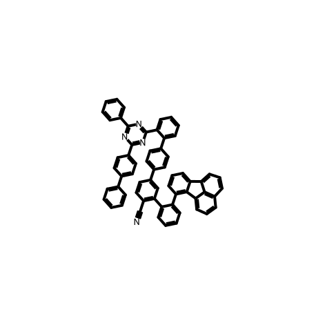 N#Cc1ccc(-c2ccc(-c3ccccc3-c3nc(-c4ccccc4)nc(-c4ccc(-c5ccccc5)cc4)n3)cc2)cc1-c1ccccc1-c1cccc2c1-c1cccc3cccc-2c13